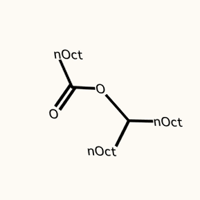 [CH2]CCCCCCCC(=O)OC(CCCCCCCC)CCCCCCCC